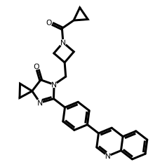 O=C(C1CC1)N1CC(CN2C(=O)C3(CC3)N=C2c2ccc(-c3cnc4ccccc4c3)cc2)C1